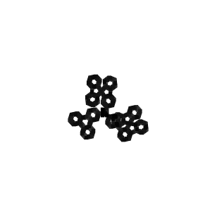 c1ccc2c(c1)-c1ccccc1C21c2ccccc2-c2ccc(N(c3ccc(-c4cccc5c4C4(c6ccccc6-c6ccccc64)c4ccccc4-5)cc3)c3ccc4c5ccccc5c5ccccc5c4c3)cc21